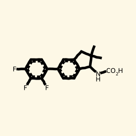 CC1(C)Cc2cc(-c3ccc(F)c(F)c3F)ccc2C1NC(=O)O